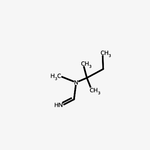 CCC(C)(C)N(C)C=N